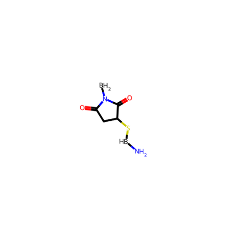 BN1C(=O)CC(SBN)C1=O